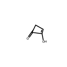 O=C1CC=C1O